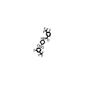 O=C(NC1CCC(S(=O)(=O)c2cc(F)cc(C(F)(F)F)c2)CC1)c1ccc(F)c(C(F)(F)F)c1